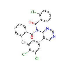 Cc1ccccc1C(=O)N(C(=O)c1ccccc1Cl)c1ncncc1-c1ccc(Cl)c(Cl)c1